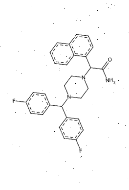 NC(=O)C(c1cccc2ccccc12)N1CCN(C(c2ccc(F)cc2)c2ccc(F)cc2)CC1